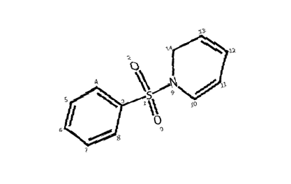 O=S(=O)(c1ccccc1)N1C=CC=CC1